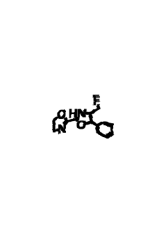 FCC1NC(C2=NCCO2)OC1c1ccccc1